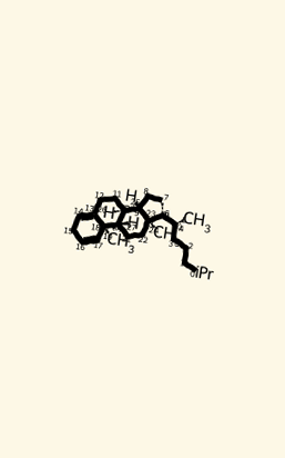 CC(C)CCC[C@@H](C)[C@H]1CC[C@H]2[C@@H]3CCC4=CCC=C[C@]4(C)[C@H]3CC[C@]12C